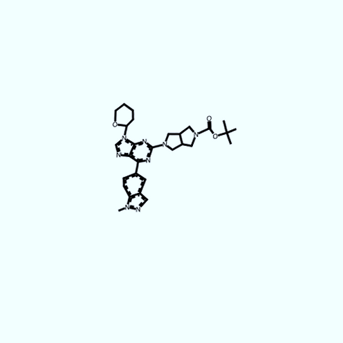 Cn1ncc2cc(-c3nc(N4CC5CN(C(=O)OC(C)(C)C)CC5C4)nc4c3ncn4C3CCCCO3)ccc21